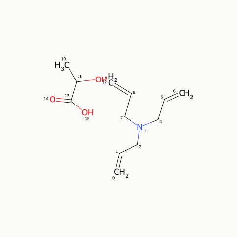 C=CCN(CC=C)CC=C.CC(O)C(=O)O